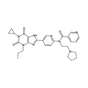 CCCn1c(=O)n(C2CC2)c(=O)c2[nH]c(-c3ccc(N(CCN4CCCC4)C(=O)c4cccnc4)nc3)nc21